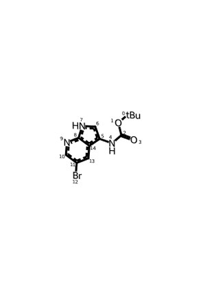 CC(C)(C)OC(=O)Nc1c[nH]c2ncc(Br)cc12